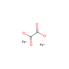 O=C([O-])C(=O)[O-].[Fe+].[Fe+]